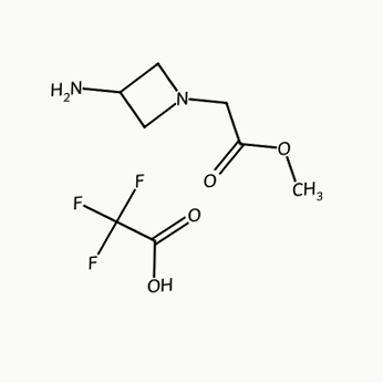 COC(=O)CN1CC(N)C1.O=C(O)C(F)(F)F